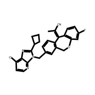 CC(C#N)=C1c2ccc(Cn3c(C4CCC4)nc4c(Cl)ccnc43)cc2COc2cc(F)ccc21